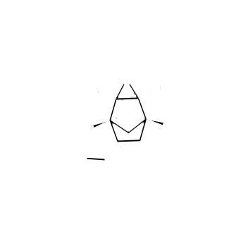 CC[C@H]1C[C@@H]2C[C@H]1[C@H]1O[C@@H]21